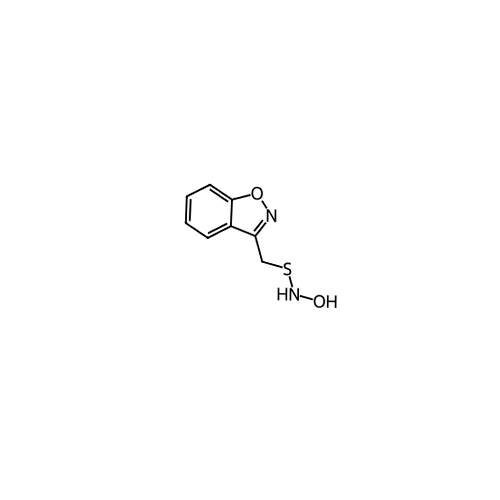 ONSCc1noc2ccccc12